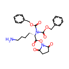 NCCCC[C@@H](C(=O)ON1C(=O)CCC1=O)N(C(=O)OCc1ccccc1)C(=O)OCc1ccccc1